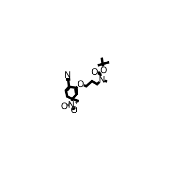 CN(CCCOC1=CC(C)([N+](=O)[O-])CC=C1C#N)C(=O)OC(C)(C)C